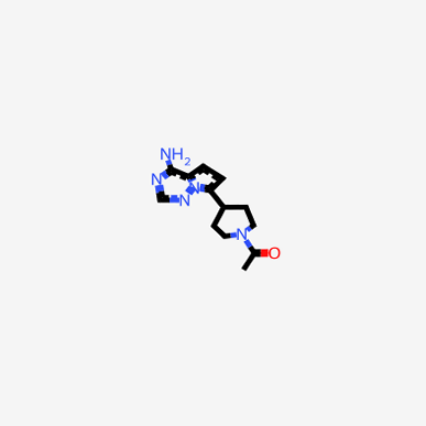 CC(=O)N1CCC(c2ccc3c(N)ncnn23)CC1